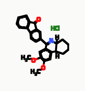 COc1cc2c(cc1OC)[C@H]1CCCC[C@H]1N=C2c1ccc2c(c1)C(=O)c1ccccc1-2.Cl